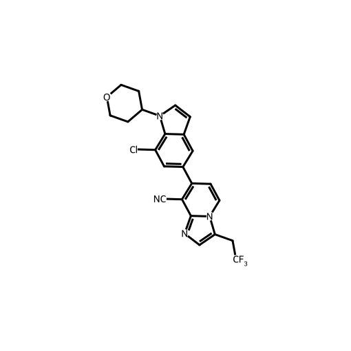 N#Cc1c(-c2cc(Cl)c3c(ccn3C3CCOCC3)c2)ccn2c(CC(F)(F)F)cnc12